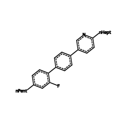 CCCCCCCc1ccc(-c2ccc(-c3ccc(CCCCC)cc3F)cc2)cn1